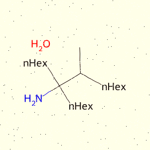 CCCCCCC(C)C(N)(CCCCCC)CCCCCC.O